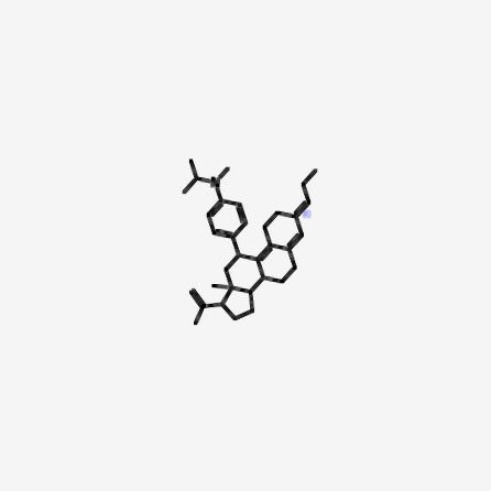 C=C(C)C1CCC2C3CCC4=C/C(=C/CC)CCC4=C3C(c3ccc(N(C)C(C)C)cc3)CC12C